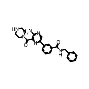 Nc1ncc(-c2cccc(C(=O)NCc3ccccc3)c2)nc1C(=O)N1CCNCC1